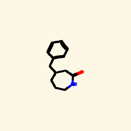 O=C1CC(Cc2ccccc2)CCCN1